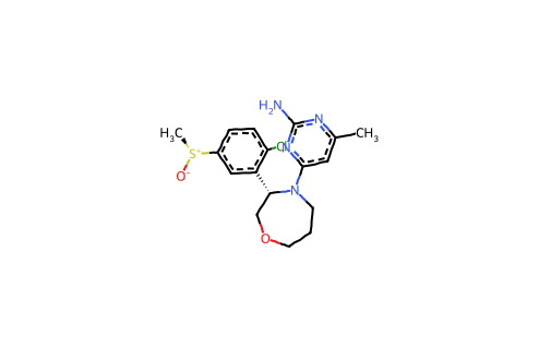 Cc1cc(N2CCCOC[C@@H]2c2cc([S@+](C)[O-])ccc2Cl)nc(N)n1